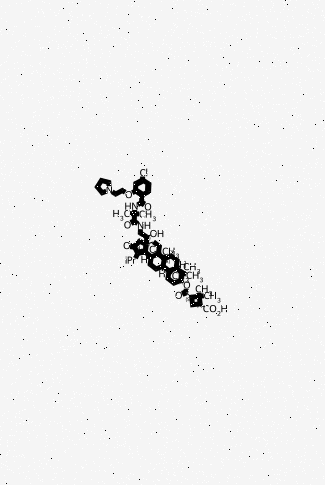 CC(C)C1=C2[C@H]3CC[C@@H]4[C@@]5(C)CC[C@H](OC(=O)[C@H]6C[C@@H](C(=O)O)C6(C)C)C(C)(C)[C@@H]5CC[C@@]4(C)[C@]3(C)CC[C@@]2([C@@H](O)CNC(=O)C(C)(C)NC(=O)c2ccc(Cl)cc2OCCN2CCCC2)CC1=O